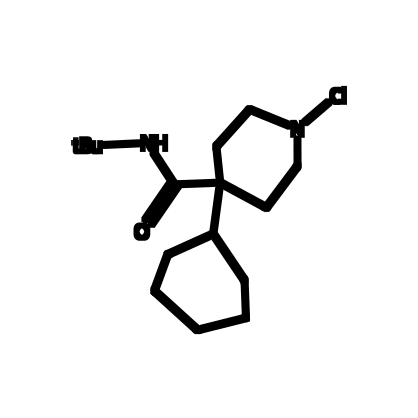 CC(C)(C)NC(=O)C1(C2CCCCC2)CCN(Cl)CC1